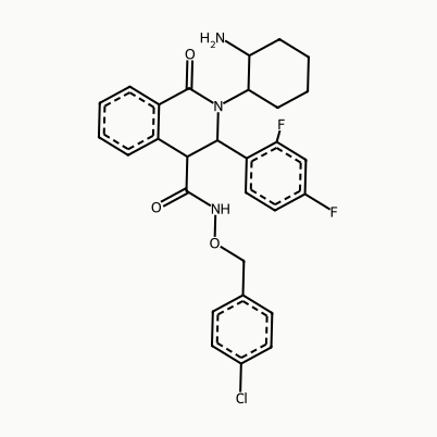 NC1CCCCC1N1C(=O)c2ccccc2C(C(=O)NOCc2ccc(Cl)cc2)C1c1ccc(F)cc1F